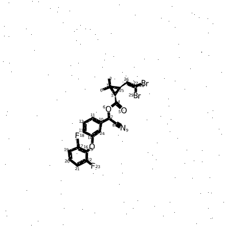 CC1(C)[C@H](C(=O)OC(C#N)c2cccc(Oc3c(F)cccc3F)c2)[C@@H]1C=C(Br)Br